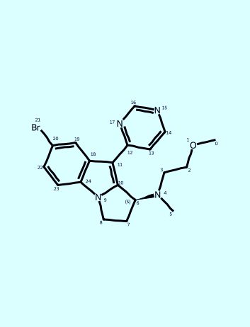 COCCN(C)[C@H]1CCn2c1c(-c1ccncn1)c1cc(Br)ccc12